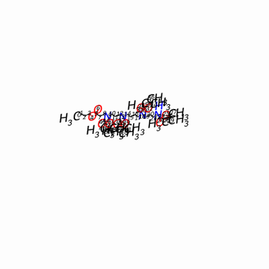 CCCCOC(=O)CCN(CCCN(CCCCN(CCCNC(=O)OC(C)(C)C)C(=O)OC(C)(C)C)C(=O)OC(C)(C)C)C(=O)OC(C)(C)C